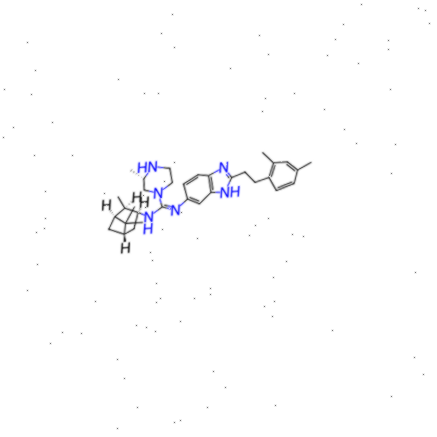 Cc1ccc(CCc2nc3ccc(N=C(N[C@H]4C[C@@H]5C[C@@H]([C@H]4C)C5(C)C)N4CCN[C@@H](C)C4)cc3[nH]2)c(C)c1